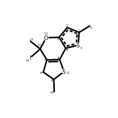 Cc1cc2c(s1)C1=C(CC(C)S1)C(C)(I)O2